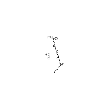 CCCCCN(C)CCOCCOCCOCCC(=O)O.O=CO